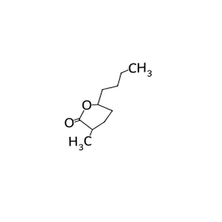 CCCCC1CCC(C)C(=O)O1